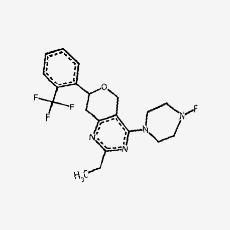 CCc1nc2c(c(N3CCN(F)CC3)n1)COC(c1ccccc1C(F)(F)F)C2